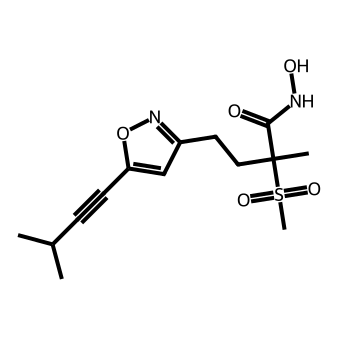 CC(C)C#Cc1cc(CCC(C)(C(=O)NO)S(C)(=O)=O)no1